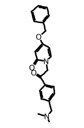 CN(C)Cc1ccc(C(=O)Cn2ccc(OCc3ccccc3)cc2=O)cc1